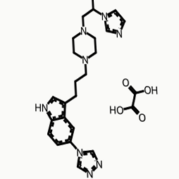 CC(CN1CCN(CCCc2c[nH]c3ccc(-n4cnnc4)cc23)CC1)n1ccnc1.O=C(O)C(=O)O